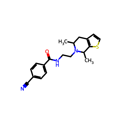 CC1Cc2ccsc2C(C)N1CCNC(=O)c1ccc(C#N)cc1